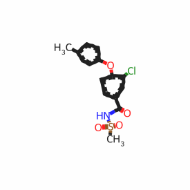 Cc1ccc(Oc2ccc(C(=O)NS(C)(=O)=O)cc2Cl)cc1